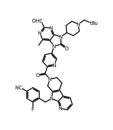 Cc1nc(C=O)nc2c1n(-c1ccc(C(=O)N3CCc4c(n(Cc5ccc(C#N)cc5F)c5ncccc45)C3)nc1)c(=O)n2C1CCN(CC(C)(C)C)CC1